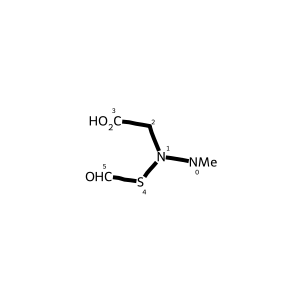 CNN(CC(=O)O)SC=O